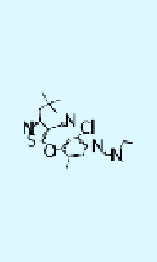 CCN(C)C=Nc1cc(C)c(Oc2snc(CC(C)(C)C)c2C#N)cc1Cl